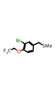 CSCc1ccc(OCC(F)(F)F)c(Br)c1